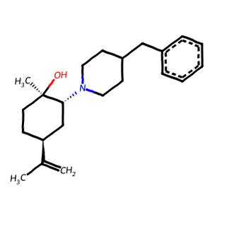 C=C(C)[C@H]1CC[C@@](C)(O)[C@H](N2CCC(Cc3ccccc3)CC2)C1